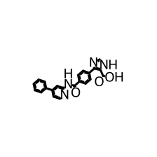 O=C(Nc1cc(-c2ccccc2)ccn1)c1ccc(-c2nc[nH]c2C(=O)O)cc1